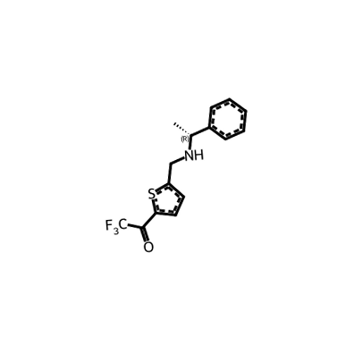 C[C@@H](NCc1ccc(C(=O)C(F)(F)F)s1)c1ccccc1